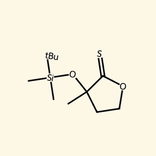 CC1(O[Si](C)(C)C(C)(C)C)CCOC1=S